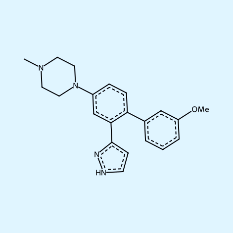 COc1cccc(-c2ccc(N3CCN(C)CC3)cc2-c2cc[nH]n2)c1